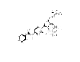 CC(C)(C)[Si](C)(C)OCC1OC(n2ccc(NC(=O)c3ccccc3)nc2=O)C(O[Si](C)(C)C(C)(C)C)C1O[N+](=O)[O-]